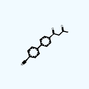 CC(=O)CC(=O)c1ccc(-c2ccc(C#N)cc2)cc1